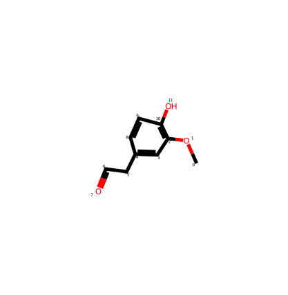 COc1cc(CC=O)ccc1O